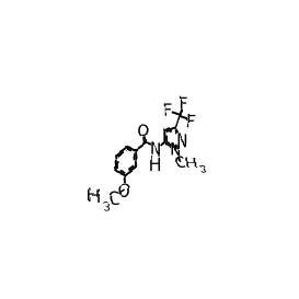 COc1cccc(C(=O)Nc2cc(C(F)(F)F)nn2C)c1